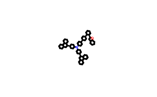 c1ccc(-c2cc3ccccc3o2)c(-c2ccc(-c3ccc(N(c4ccc(-c5cc6ccccc6c6ccccc56)cc4)c4ccc(-c5cc6ccccc6c6ccccc56)cc4)cc3)cc2)c1